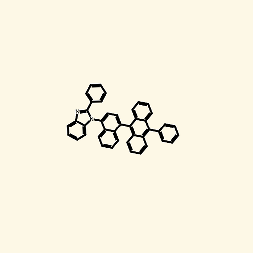 c1ccc(-c2c3ccccc3c(-c3ccc(-n4c(-c5ccccc5)nc5ccccc54)c4ccccc34)c3ccccc23)cc1